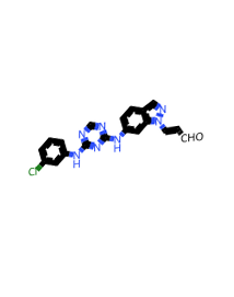 O=CC=Cn1ncc2ccc(Nc3ncnc(Nc4cccc(Cl)c4)n3)cc21